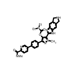 CCN(CC)C(=O)Oc1c(-c2ccc(-c3ccc(C(=O)NC)nc3)cc2)nn(C)c1-c1nc2cc3c(cc2[nH]1)CNC3